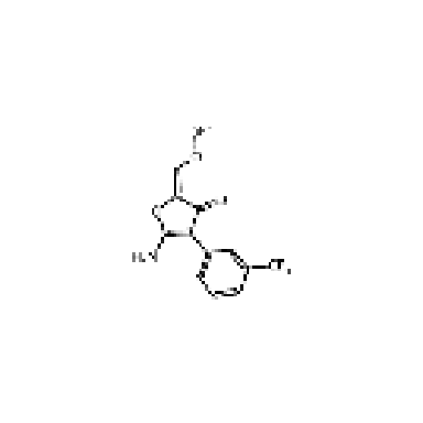 CCCOC=C1OC(N)=C(c2cccc(C(F)(F)F)c2)C1=O